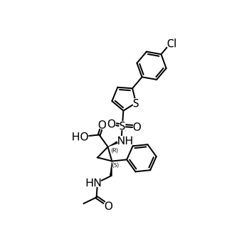 CC(=O)NC[C@@]1(c2ccccc2)C[C@]1(NS(=O)(=O)c1ccc(-c2ccc(Cl)cc2)s1)C(=O)O